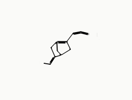 C=C=CC1=C2CC(=CC)C(C1)C2